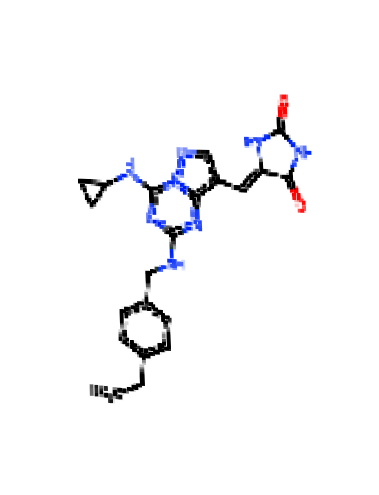 O=C(O)Cc1ccc(CNc2nc(NC3CC3)n3ncc(/C=C4\NC(=O)NC4=O)c3n2)cc1